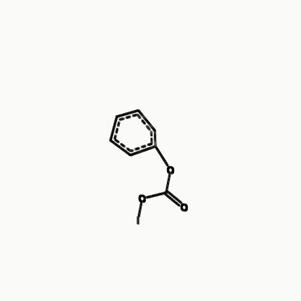 O=C(OI)Oc1ccccc1